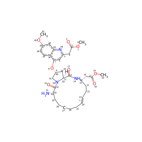 COC(=O)Cc1cc(O[C@@H]2C[C@H]3C(=O)N[C@H](CC(=O)OC)CC/C=C/CCCCC[C@H](N)C(=O)N3C2)c2ccc(OC)cc2n1